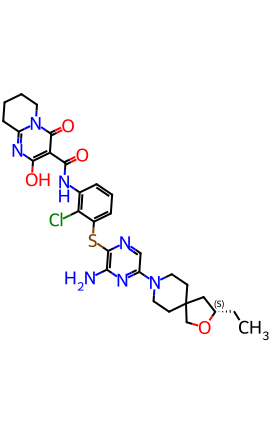 CC[C@H]1CC2(CCN(c3cnc(Sc4cccc(NC(=O)c5c(O)nc6n(c5=O)CCCC6)c4Cl)c(N)n3)CC2)CO1